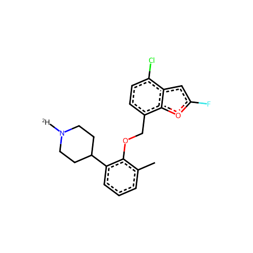 [2H]N1CCC(c2cccc(C)c2OCc2ccc(Cl)c3cc(F)oc23)CC1